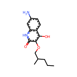 CCCC(C)COc1c(O)c2ccc(N)cc2[nH]c1=O